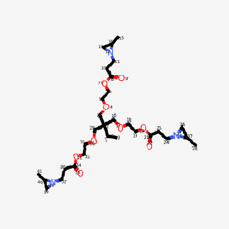 CCC(COCCOC(=O)CCN1CC1C)(COCCOC(=O)CCN1CC1C)COCCOC(=O)CCN1CC1C